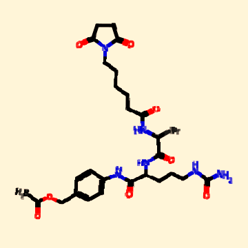 BC(=O)OCc1ccc(NC(=O)[C@H](CCCNC(N)=O)NC(=O)C(NC(=O)CCCCCN2C(=O)CCC2=O)C(C)C)cc1